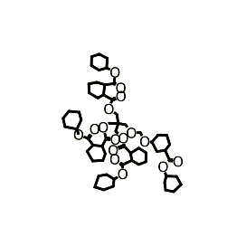 O=C(OC1CCCCC1)C1CCCC(OCOCC(COC(=O)C2CCCCC2C(=O)OC2CCCCC2)(COC(=O)C2CCCCC2C(=O)OC2CCCCC2)COC(=O)C2CCCCC2C(=O)OC2CCCCC2)C1